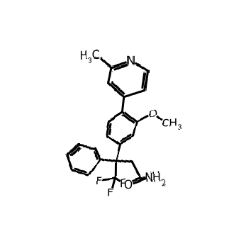 COc1cc(C(CC(N)=O)(c2ccccc2)C(F)(F)F)ccc1-c1ccnc(C)c1